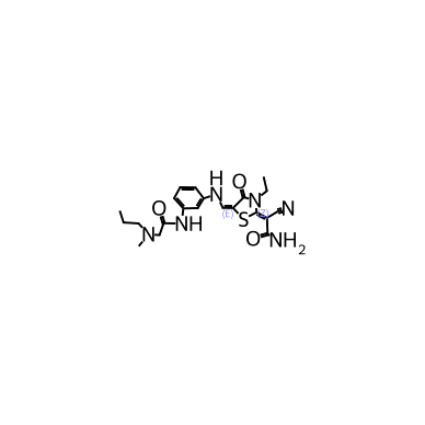 CCCN(C)CC(=O)Nc1cccc(N/C=c2/s/c(=C(/C#N)C(N)=O)n(CC)c2=O)c1